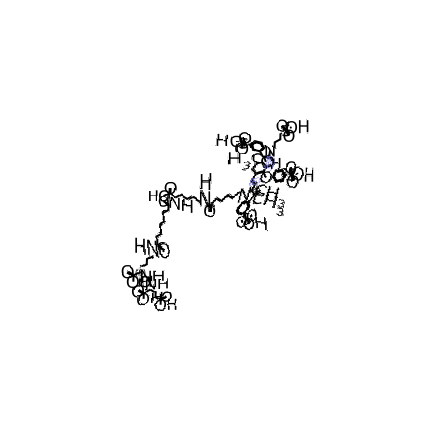 CC1(C)C(/C=C/C2=C(Oc3ccc(S(=O)(=O)O)cc3)C(=C/C=C3/N(CCCCS(=O)(=O)O)c4ccc(S(=O)(=O)O)cc4C3(C)C)/CCC2)=[N+](CCCCCC(=O)NCCCCC(NC(=O)CCCCCCC(=O)NCCCC[C@H](NONC(CCC(=O)O)C(=O)O)C(=O)O)C(=O)O)c2ccc(S(=O)(=O)O)cc21